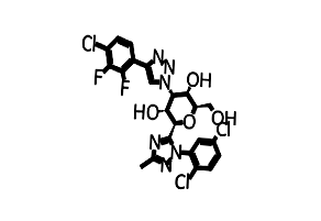 Cc1nc([C@@H]2O[C@H](CO)[C@H](O)[C@H](n3cc(-c4ccc(Cl)c(F)c4F)nn3)[C@H]2O)n(-c2cc(Cl)ccc2Cl)n1